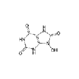 O=c1[nH]c(=O)c2[nH]c(=O)n(O)c2[nH]1